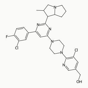 CC1CN2CCCC2C1c1nc(-c2ccc(F)c(Cl)c2)cc(N2CCN(c3ncc(CO)cc3Cl)CC2)n1